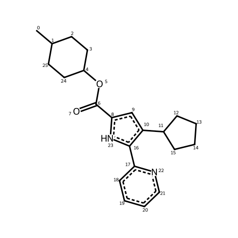 CC1CCC(OC(=O)c2cc(C3CCCC3)c(-c3ccccn3)[nH]2)CC1